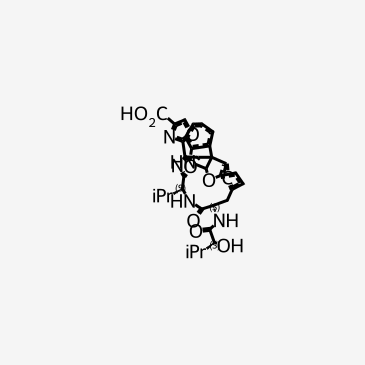 CC(C)[C@H](O)C(=O)N[C@H]1Cc2ccc3c(c2)C2(c4ccccc4NC2O3)c2oc(nc2-c2nc(C(=O)O)co2)[C@H](C(C)C)NC1=O